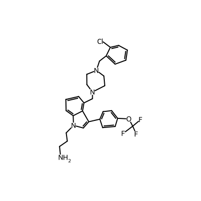 NCCCn1cc(-c2ccc(OC(F)(F)F)cc2)c2c(CN3CCN(Cc4ccccc4Cl)CC3)cccc21